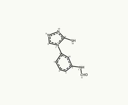 O=CNc1cccc(-n2cnnc2S)c1